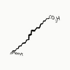 CCCCCC=CCC=CCC=CCC=CCC=CCC=CCC=CCCC(=O)O